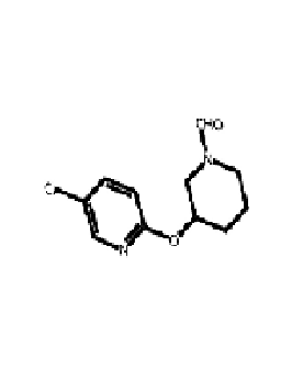 O=CN1CCCC(Oc2ccc(Cl)cn2)C1